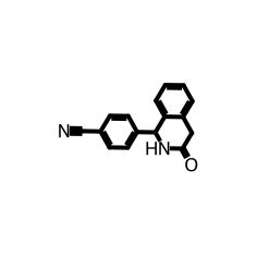 N#Cc1ccc(C2NC(=O)Cc3ccccc32)cc1